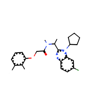 Cc1cccc(OCC(=O)N(C)C(C)c2nc3ccc(Cl)cc3n2C2CCCC2)c1C